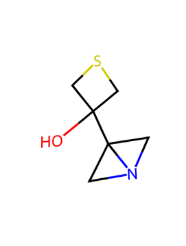 OC1(C23CN2C3)CSC1